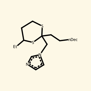 CCCCCCCCCCCCC1(Cn2ccnc2)SCCC(CC)S1